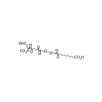 O=[C]CC[C@H](NC(=O)CCC(=O)NCCOCCOCCNC(=O)CCCCCCCCC(=O)O)C(=O)O